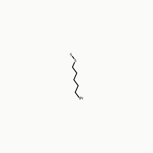 CC(C)CCCCCS[S]